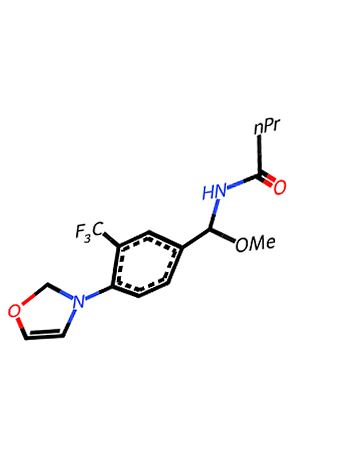 CCCC(=O)NC(OC)c1ccc(N2C=COC2)c(C(F)(F)F)c1